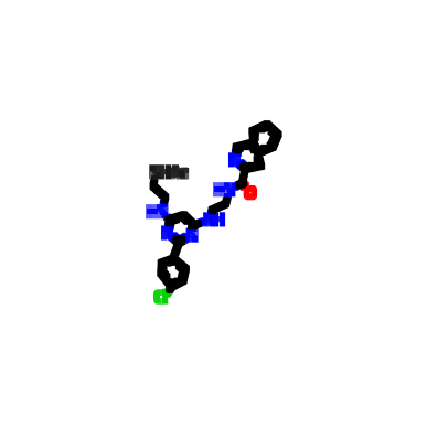 CC(=O)NCCNc1cc(NCCNC(=O)c2cc3ccccc3cn2)nc(-c2ccc(Cl)cc2)n1